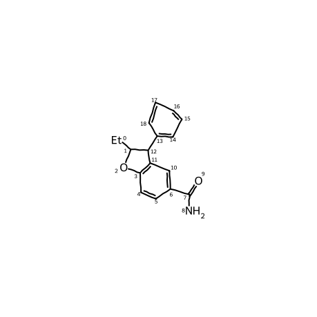 CCC1Oc2ccc(C(N)=O)cc2C1c1ccccc1